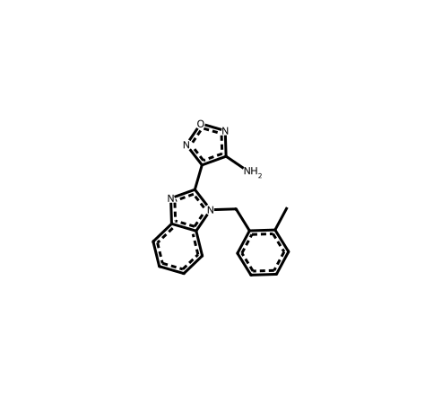 Cc1ccccc1Cn1c(-c2nonc2N)nc2ccccc21